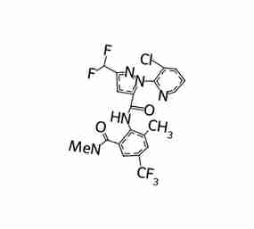 CNC(=O)c1cc(C(F)(F)F)cc(C)c1NC(=O)c1cc(C(F)F)nn1-c1ncccc1Cl